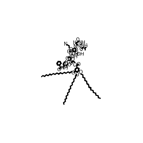 CCCCCCCCCCCCCCCCCCOc1cc(C(=O)OCC(=O)O[C@]2(O)C[C@H](n3ccc(NC(=O)c4ccccc4)nc3=O)O[C@@H]2COP(=O)(OCCC#N)[C@]2(O)C[C@H](n3cnc4c(=O)[nH]c(NC(=O)C(C)C)nc43)O[C@@H]2CO)cc(OCCCCCCCCCCCCCCCCCC)c1OCCCCCCCCCCCCCCCCCC